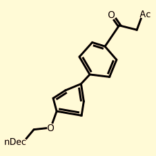 CCCCCCCCCCCOc1ccc(-c2ccc(C(=O)CC(C)=O)cc2)cc1